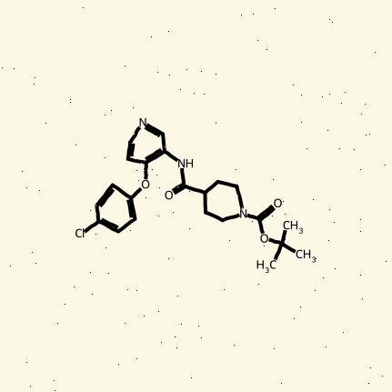 CC(C)(C)OC(=O)N1CCC(C(=O)Nc2cnccc2Oc2ccc(Cl)cc2)CC1